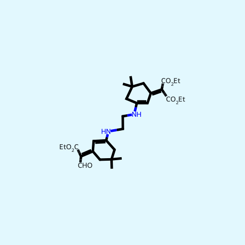 CCOC(=O)C(C(=O)OCC)=C1C=C(NCCNC2=C/C(=C(/C=O)C(=O)OCC)CC(C)(C)C2)CC(C)(C)C1